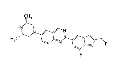 C[C@H]1CN(c2ccc3nc(-c4cc(F)c5nc(CF)cn5c4)ncc3c2)C[C@H](C)N1